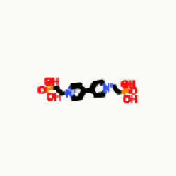 O=P(O)(O)CC[n+]1ccc(-c2cc[n+](CCP(=O)(O)O)cc2)cc1